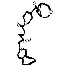 O=C(OC[C@H](O)CN1CCc2ccccc2C1)N1CCC(C(=O)N2C3CCC2COC3)CC1